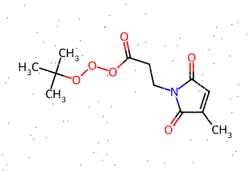 CC1=CC(=O)N(CCC(=O)OOOC(C)(C)C)C1=O